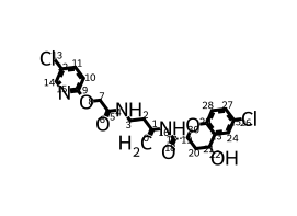 C=C(CCNC(=O)COc1ccc(Cl)cn1)NC(=O)[C@H]1C[C@@H](O)c2cc(Cl)ccc2O1